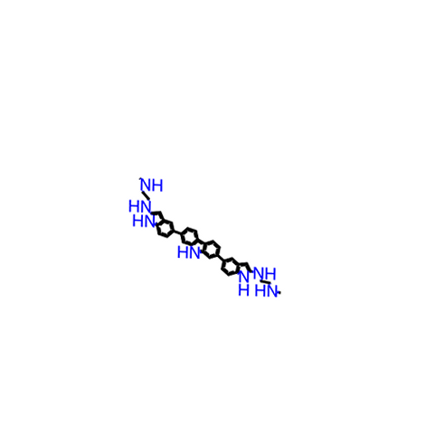 CNCCNc1cc2cc(-c3ccc4c(c3)[nH]c3cc(-c5ccc6[nH]c(NCCNC)cc6c5)ccc34)ccc2[nH]1